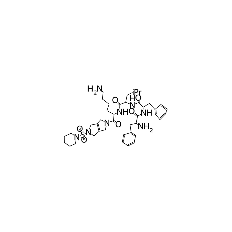 CC(C)CC(NC(=O)C(Cc1ccccc1)NC(=O)C(N)Cc1ccccc1)C(=O)NC(CCCCN)C(=O)N1CC2=C(C1)CN(S(=O)(=O)N1CCCCC1)C2